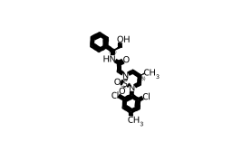 Cc1cc(Cl)c(N2C[C@@H](C)CN(CC(=O)N[C@H](CO)c3ccccc3)S2(=O)=O)c(Cl)c1